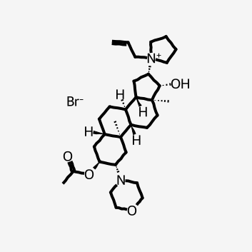 C=CC[N+]1([C@H]2C[C@H]3[C@@H]4CC[C@H]5C[C@H](OC(C)=O)[C@@H](N6CCOCC6)C[C@]5(C)[C@H]4CC[C@]3(C)[C@H]2O)CCCC1.[Br-]